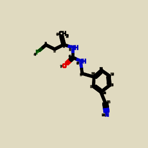 C=C(CCF)NC(=O)NCc1cccc(C#N)c1